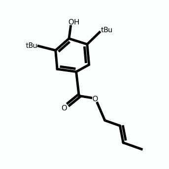 CC=CCOC(=O)c1cc(C(C)(C)C)c(O)c(C(C)(C)C)c1